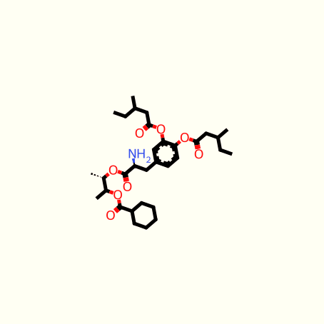 CCC(C)CC(=O)Oc1ccc(C[C@H](N)C(=O)O[C@@H](C)C(C)OC(=O)C2CCCCC2)cc1OC(=O)CC(C)CC